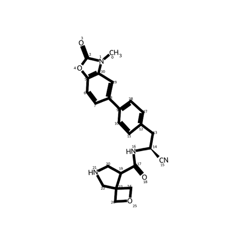 Cn1c(=O)oc2ccc(-c3ccc(C[C@@H](C#N)NC(=O)C4CNCC45COC5)cc3)cc21